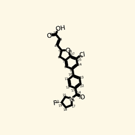 O=C(O)/C=C/C1Cc2cc(-c3ccc(C(=O)N4CC[C@H](F)C4)cc3)cc(Cl)c2O1